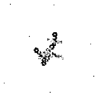 CC(C)C[C@@H](NC(=O)[C@@H](Cc1ccccc1)NC(=O)[C@H](N)Cc1ccccc1)C(=O)N[C@H](CCCCN)C(=O)N1CCC2(CC1)CN(C(O)[C@H](N)Cc1ccccc1)C2